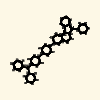 c1ccc(-c2c3ccccc3n3c2ccc2cc(-c4ccc(-c5ccc(N(c6ccccc6)c6ccccc6)cc5)cc4)ccc23)cc1